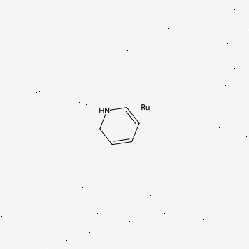 C1=CCNC=C1.[Ru]